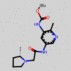 Cc1ncc(NC(=O)CN2CCC[C@@H]2C)cc1NC(=O)OC(C)(C)C